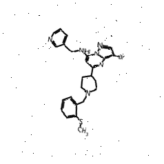 CSc1ccccc1CN1CCC(c2cc(NCc3cccnc3)n3ncc(Br)c3n2)CC1